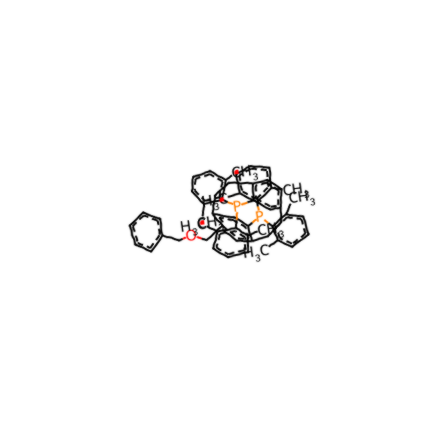 Cc1cccc(C)c1P(c1cc2c(COCc3ccccc3)cc1CCc1ccc(c(P(c3c(C)cccc3C)c3c(C)cccc3C)c1)CC2)c1c(C)cccc1C